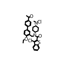 CCOc1ccc(-c2ccc(C(C)=O)cc2)cc1CN(C(=O)c1sc2ccccc2c1Cl)[C@H]1CC[C@H](N(C)Cl)CC1